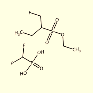 CCOS(=O)(=O)C(CC)CF.O=P(O)(O)C(F)F